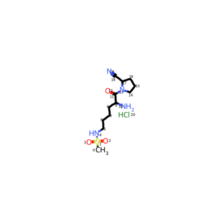 CS(=O)(=O)NCCCCC(N)C(=O)N1CCCC1C#N.Cl